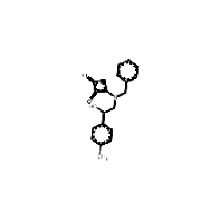 Cc1ccc(C(O)CN(Cc2ccccc2)c2cc(=O)c2=O)cc1